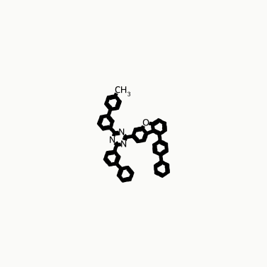 Cc1ccc(-c2cccc(-c3nc(-c4cccc(-c5ccccc5)c4)nc(-c4ccc5c(c4)oc4cccc(-c6ccc(-c7ccccc7)cc6)c45)n3)c2)cc1